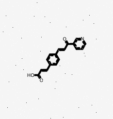 O=C(O)C=Cc1ccc(C=CC(=O)c2cccnc2)cc1